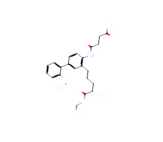 CCOC(=O)[C@@H](C)CCCc1cc(-c2ccccc2OC)ccc1NC(=O)CCC(=O)O